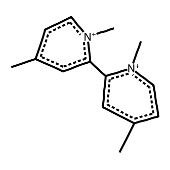 Cc1cc[n+](C)c(-c2cc(C)cc[n+]2C)c1